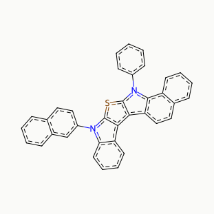 c1ccc(-n2c3sc4c(c5ccccc5n4-c4ccc5ccccc5c4)c3c3ccc4ccccc4c32)cc1